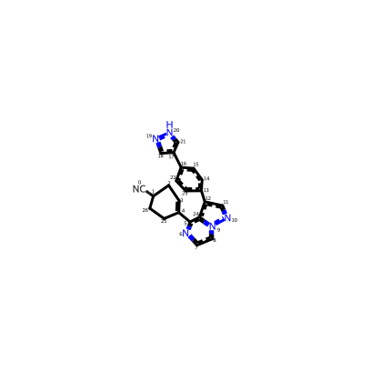 N#CC1CC=C(c2nccn3ncc(-c4ccc(-c5cn[nH]c5)cc4)c23)CC1